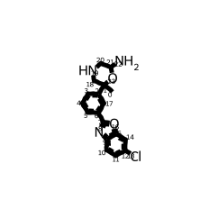 CC1(c2cccc(-c3nc4ccc(Cl)cc4o3)c2)CNCC(N)O1